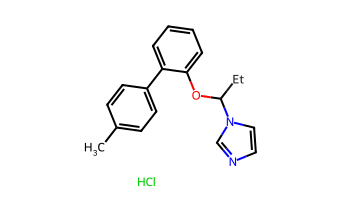 CCC(Oc1ccccc1-c1ccc(C)cc1)n1ccnc1.Cl